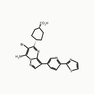 Nc1c(Br)c([C@H]2CC[C@H](C(=O)O)CC2)nc2c(-c3ccc(-c4nccs4)nc3)cnn12